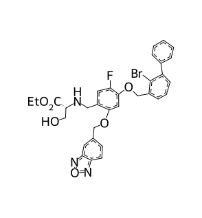 CCOC(=O)[C@@H](CO)NCc1cc(F)c(OCc2cccc(-c3ccccc3)c2Br)cc1OCc1ccc2nonc2c1